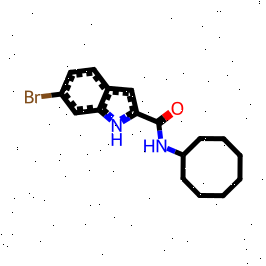 O=C(NC1CCCCCCC1)c1cc2ccc(Br)cc2[nH]1